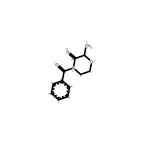 CC1OCCN(C(=O)c2ccccc2)C1=O